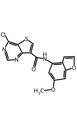 COc1cc(NC(=O)c2csc3c(Cl)ncnc23)c2ccoc2c1